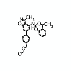 Cc1noc2cc(-c3ccc(COC=O)cc3)cc(NC(=O)OC(C)c3ccccc3)c12